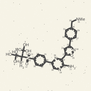 BC(C(O)(O)O)(C(O)(O)O)S(=O)(=O)c1ccc(-c2cnc(N)c(-c3cc(-c4ccc(CNC)cc4)no3)n2)cc1